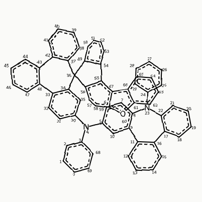 c1ccc(N(c2ccc3c(c2)-c2ccccc2-c2ccccc2N3c2ccccc2)c2ccc3c(c2)C2(c4ccccc4-c4ccccc4-3)c3ccccc3-c3c2ccc2oc4ccccc4c32)cc1